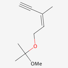 C#C/C(C)=C\COC(C)(C)OC